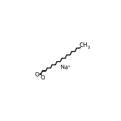 CCCCCCCCCCCCCCCC=CC(=O)[O-].[Na+]